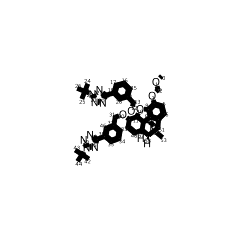 COCOc1ccc2c3c1OC1(OCc4cccc(-c5nnn(C(C)(C)C)n5)c4)C(OCc4cccc(-c5nnn(C(C)(C)C)n5)c4)C=C[C@H]4[C@@H](C2)N(C)CC[C@@]341